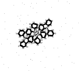 c1ccc(-n2c3ccccc3c3ccc(N4[Si](c5ccccc5)(c5ccccc5)N(c5ccc6c7ccccc7n(-c7ccccc7)c6c5)[Si]4(c4ccccc4)c4ccccc4)cc32)cc1